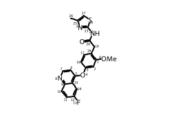 COc1cc(Oc2ccnc3ccc(F)cc23)ccc1CC(=O)Nc1nc(C)cs1